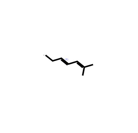 [CH2]C/C=C/C=C(C)C